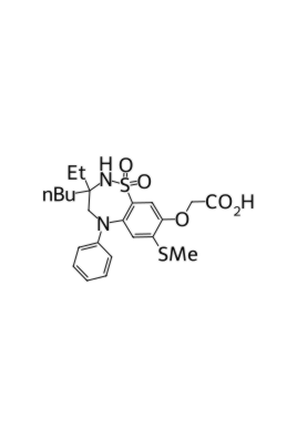 CCCCC1(CC)CN(c2ccccc2)c2cc(SC)c(OCC(=O)O)cc2S(=O)(=O)N1